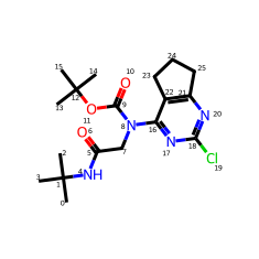 CC(C)(C)NC(=O)CN(C(=O)OC(C)(C)C)c1nc(Cl)nc2c1CCC2